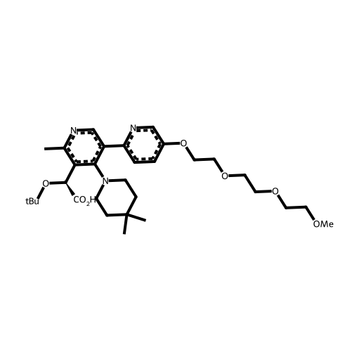 COCCOCCOCCOc1ccc(-c2cnc(C)c([C@H](OC(C)(C)C)C(=O)O)c2N2CCC(C)(C)CC2)nc1